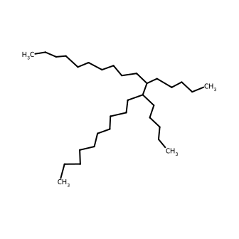 CCCCCCCCCCC(CCCCC)C(CCCCC)CCCCCCCCCC